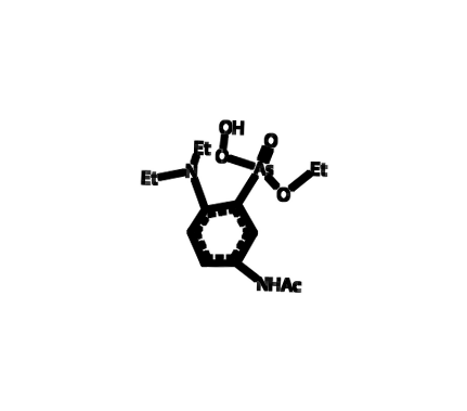 CCO[As](=O)(OO)c1cc(NC(C)=O)ccc1N(CC)CC